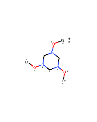 CCON1CN(OCC)CN(OCC)C1.[H+]